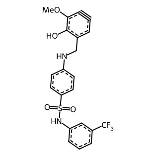 COc1c#ccc(CNc2ccc(S(=O)(=O)Nc3cccc(C(F)(F)F)c3)cc2)c1O